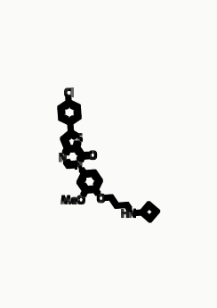 COc1cc(-n2cnc3cc(-c4ccc(Cl)cc4)sc3c2=O)ccc1OCCCNC1CCC1